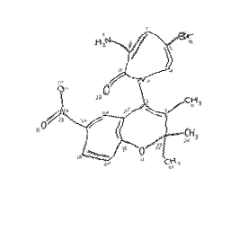 CC1=C(n2cc(Br)cc(N)c2=O)c2cc([N+](=O)[O-])ccc2OC1(C)C